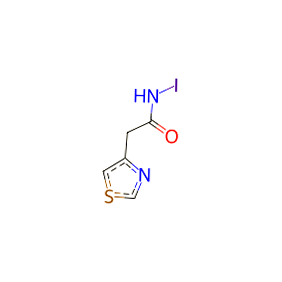 O=C(Cc1cscn1)NI